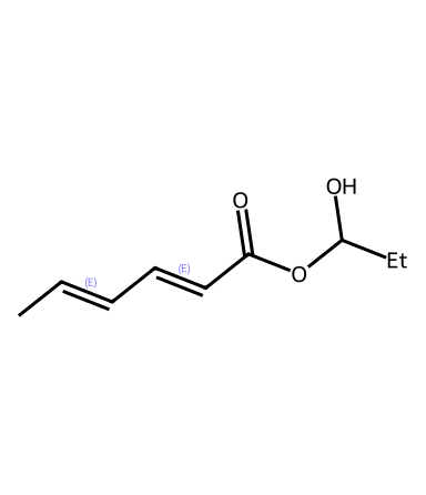 C/C=C/C=C/C(=O)OC(O)CC